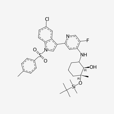 Cc1ccc(S(=O)(=O)n2cc(-c3cc(NC4CCC[C@@](C)(O[Si](C)(C)C(C)(C)C)[C@@H]4O)c(F)cn3)c3cc(Cl)ccc32)cc1